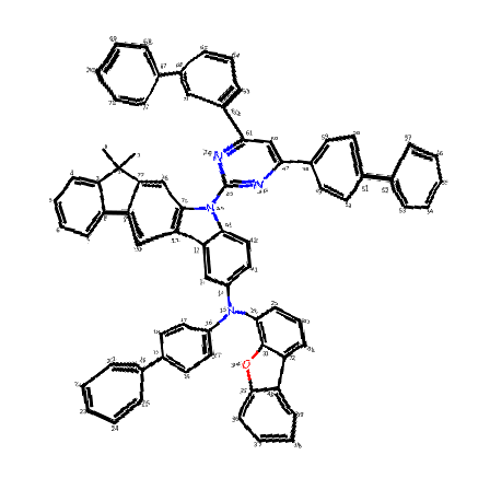 CC1(C)c2ccccc2-c2cc3c4cc(N(c5ccc(-c6ccccc6)cc5)c5cccc6c5oc5ccccc56)ccc4n(-c4nc(-c5ccc(-c6ccccc6)cc5)cc(-c5cccc(-c6ccccc6)c5)n4)c3cc21